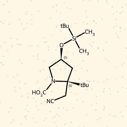 CC(C)(C)[C@]1(CC#N)C[C@H](O[Si](C)(C)C(C)(C)C)CN1C(=O)O